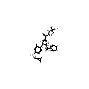 Cc1cc(N[C@@H](C)C2CC2)ncc1-c1sc(C(=O)NCC(C)(C)O)nc1C(=O)N1C2CCC1CC2